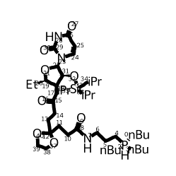 CCCC[PH](CCCC)(CCCC)CCCNC(=O)CCC1(CCC(=O)CC2[C@@H](CC)O[C@@H](n3ccc(=O)[nH]c3=O)[C@H]2O[Si](C(C)C)(C(C)C)C(C)C)OCCO1